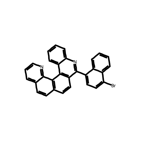 Brc1ccc(-c2nc3ccccc3c3c2ccc2ccc4cccnc4c23)c2ccccc12